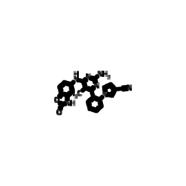 Cc1c(Nc2ccc3oc(=O)[nH]c3c2)nc(N)nc1-c1ccccc1-n1ccc(C#N)c1